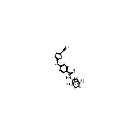 N#Cc1cnc(Sc2ccc(C(=O)N[C@@H]3C[C@H]4CC[C@@H]3N4)cc2)s1